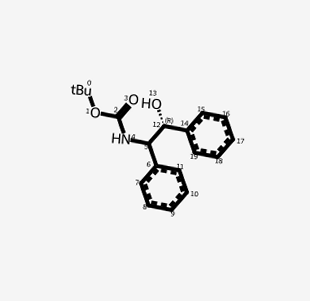 CC(C)(C)OC(=O)NC(c1ccccc1)[C@H](O)c1ccccc1